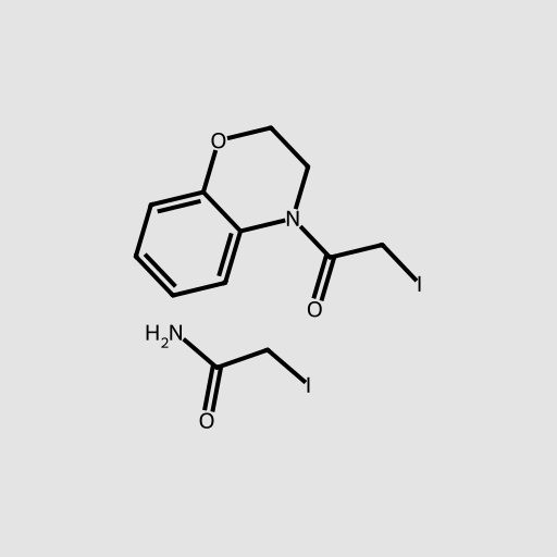 NC(=O)CI.O=C(CI)N1CCOc2ccccc21